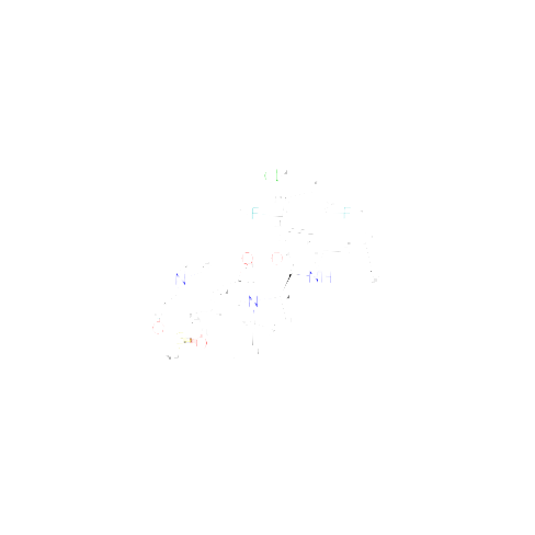 C[C@H]1C2C[C@H](C(=O)NC(c3cc(F)c(Cl)cc3F)C3CC3)N(C(=O)c3cncc(S(C)(=O)=O)c3)C21